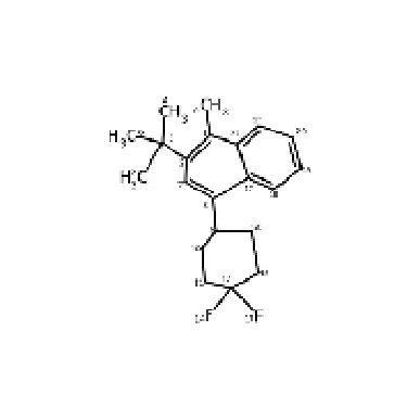 Cc1c(C(C)(C)C)cc(C2CCC(F)(F)CC2)c2ccccc12